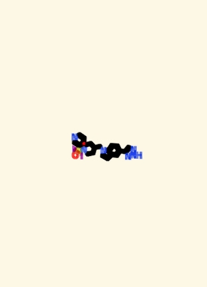 O=S(I)(I)(c1cccnc1)N1CCC(Cn2ccc3cc(-c4cn[nH]n4)ccc32)CC1